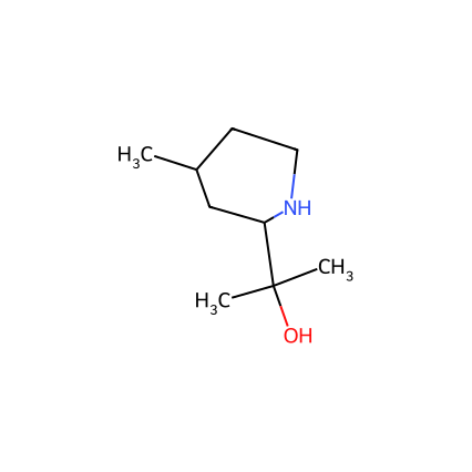 CC1CCNC(C(C)(C)O)C1